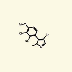 COc1ccc(-c2c(Br)cnn2C)c(C#N)c1Cl